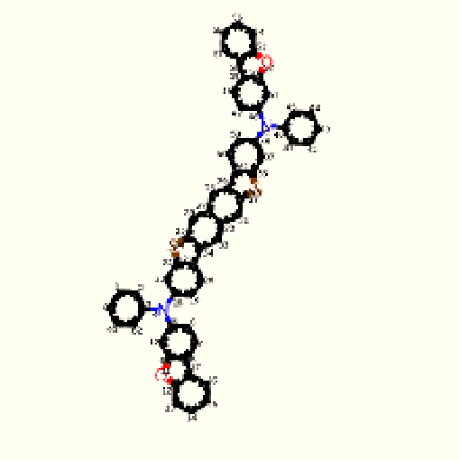 c1ccc(N(c2ccc3c(c2)oc2ccccc23)c2ccc3c(c2)sc2cc4cc5c(cc4cc23)sc2cc(N(c3ccccc3)c3ccc4c(c3)oc3ccccc34)ccc25)cc1